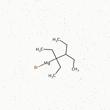 CCC(CC)[C](CC)(CC)[Mg][Br]